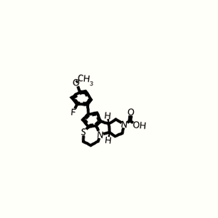 COc1ccc(-c2cc3c4c(c2)[C@@H]2CN(C(=O)O)CC[C@@H]2N4CCCS3)c(F)c1